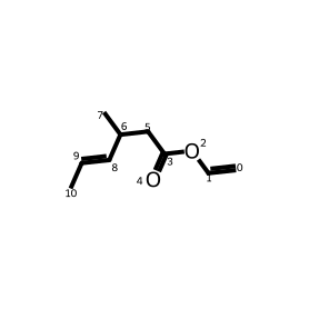 C=COC(=O)CC(C)C=CC